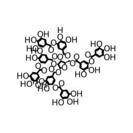 O=C(OC[C@H]1O[C@H](OC(=O)c2cc(O)c(O)c(OC(=O)c3cc(O)c(O)c(O)c3)c2)[C@H](OC(=O)c2cc(O)c(O)c(OC(=O)c3cc(O)c(O)c(O)c3)c2)[C@@H]1OC(=O)c1cc(O)c(O)c(OC(=O)c2cc(O)c(O)c(O)c2)c1)c1cc(O)c(O)c(OC(=O)c2cc(O)c(O)c(O)c2)c1